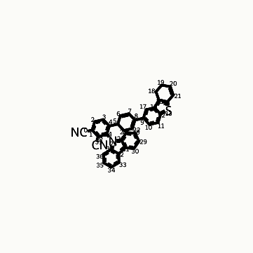 N#Cc1ccc(C2C=CC(c3ccc4sc5c(c4c3)CCC=C5)=CC2)c(-n2c3ccccc3c3ccccc32)c1C#N